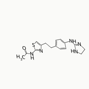 CC(=O)Nc1nc(CCc2ccc(NC3=NCCN3)cc2)cs1